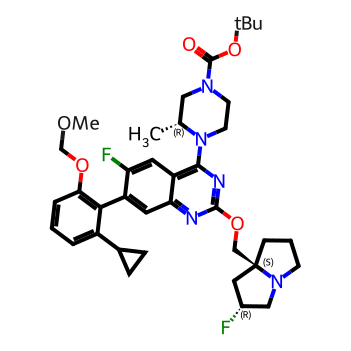 COCOc1cccc(C2CC2)c1-c1cc2nc(OC[C@@]34CCCN3C[C@H](F)C4)nc(N3CCN(C(=O)OC(C)(C)C)C[C@H]3C)c2cc1F